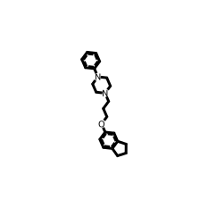 c1ccc(N2CCN(CCCOc3ccc4c(c3)CCC4)CC2)cc1